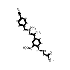 COc1cc(/C(N)=N/N(N)Cc2ccc(C#N)cc2)ccc1SNCC(N)=O